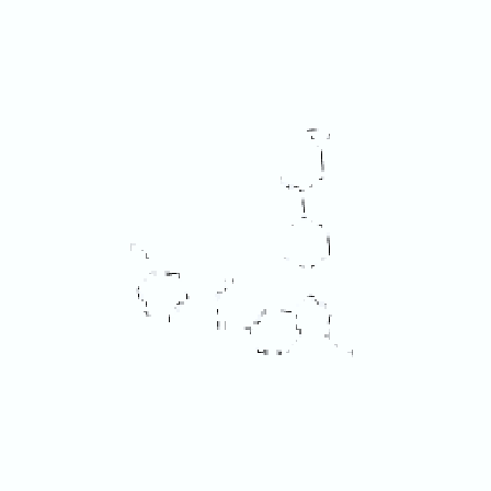 Cn1cc(C2CCN(C(=O)CC3CC3)CC2)c2cc(NC(=O)c3cc(C#N)ccn3)ccc21